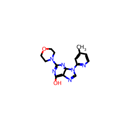 Cc1ccnc(-n2cnc3c(O)nc(N4CCOCC4)nc32)c1